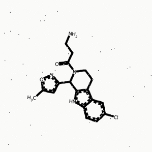 Cc1cc(C2c3[nH]c4ccc(Cl)cc4c3CCN2C(=O)CCN)no1